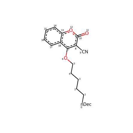 CCCCCCCCCCCCCCCOc1c(C#N)c(=O)oc2ccccc12